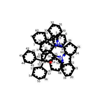 c1ccc(-c2ccccc2-c2ccccc2-n2c3ccccc3c3cccc(-n4c5ccccc5c5ccc([Si](c6ccccc6)(c6ccccc6)c6ccccc6)cc54)c32)cc1